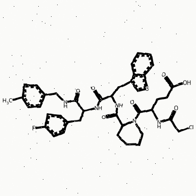 Cc1ccc(CNC(=O)C(Cc2ccc(F)cc2)NC(=O)C(Cc2csc3ccccc23)NC(=O)C2CCCCN2C(=O)C(CCC(=O)O)NC(=O)CCl)cc1